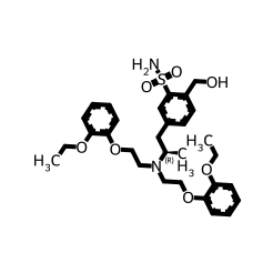 CCOc1ccccc1OCCN(CCOc1ccccc1OCC)[C@H](C)Cc1ccc(CO)c(S(N)(=O)=O)c1